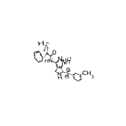 Cc1cccc(S(=O)(=O)C2NCc3c(NC(=O)C(C)c4ccccc4)n[nH]c32)c1